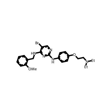 CCN(CC)CCOc1ccc(Nc2ncc(Br)c(NCc3ccccc3OC)n2)cc1